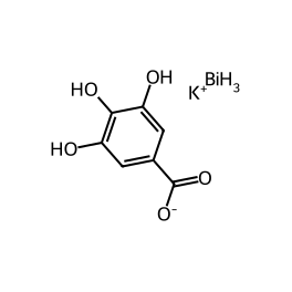 O=C([O-])c1cc(O)c(O)c(O)c1.[BiH3].[K+]